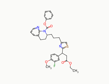 CCOC(=O)CC(c1ccc(OC)c(F)c1)c1nc(CCCC2CCc3cccnc3N2C(=O)Oc2ccccc2)cs1